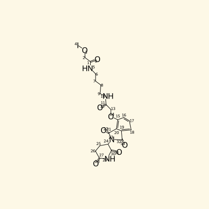 O=C(COI)NCCCCNC(=O)COc1cccc2c1C(=O)N(C1CCC(=O)NC1=O)C2=O